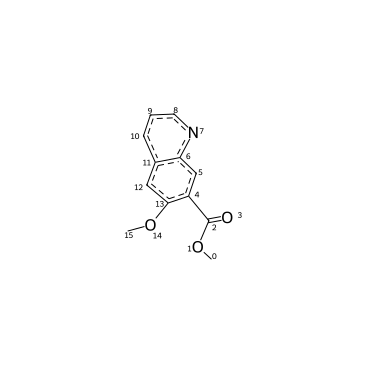 COC(=O)c1cc2ncccc2cc1OC